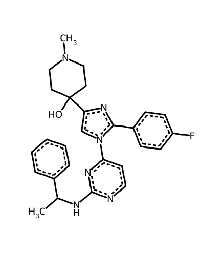 CC(Nc1nccc(-n2cc(C3(O)CCN(C)CC3)nc2-c2ccc(F)cc2)n1)c1ccccc1